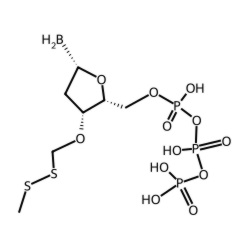 B[C@H]1C[C@@H](OCSSC)[C@@H](COP(=O)(O)OP(=O)(O)OP(=O)(O)O)O1